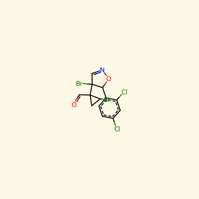 O=CC1(C2(Br)C=NOC2c2ccc(Cl)cc2Cl)CC1Br